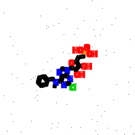 CN(Cc1ccccc1)c1nc(Cl)nc2c1ncn2C1OC(CCP(=O)(O)O)C(O)C1O